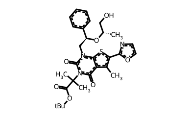 Cc1c(-c2ncco2)sc2c1c(=O)n(C(C)(C)C(=O)OC(C)(C)C)c(=O)n2C[C@H](O[C@@H](C)CO)c1ccccc1